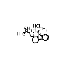 CCn1c2c(c3ccccc31)CCCC2(C)CCN(C)C.Cl